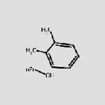 CCCO.Cc1ccccc1C